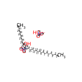 CCCCCCCCCCCCCCCCCCC(CO)(CCCCCCCCCCCC)[N+](=O)[O-].O=[N+]([O-])O